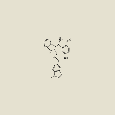 CNC(c1cc(O)ccc1C=O)C1c2ccccc2NC1CNCc1ccc2c(ccn2C)c1